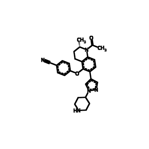 CC(=O)N1c2ccc(-c3cnn(C4CCNCC4)c3)c(Oc3ccc(C#N)cc3)c2CC[C@@H]1C